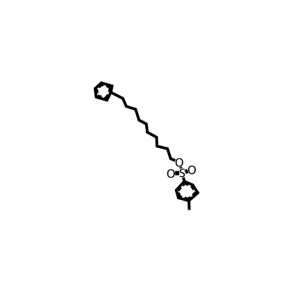 Cc1ccc(S(=O)(=O)OCCCCCCCCCCc2ccccc2)cc1